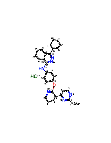 CSc1nccc(-c2cccnc2Oc2ccc(Nc3nnc(-c4ccccc4)c4ccccc34)cc2)n1.Cl